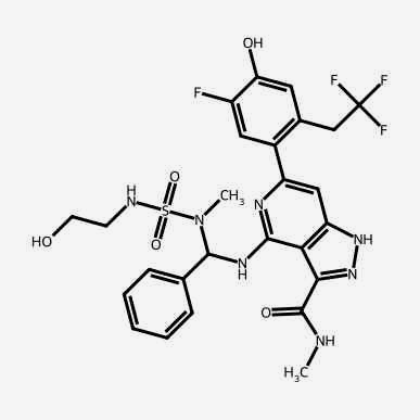 CNC(=O)c1n[nH]c2cc(-c3cc(F)c(O)cc3CC(F)(F)F)nc(NC(c3ccccc3)N(C)S(=O)(=O)NCCO)c12